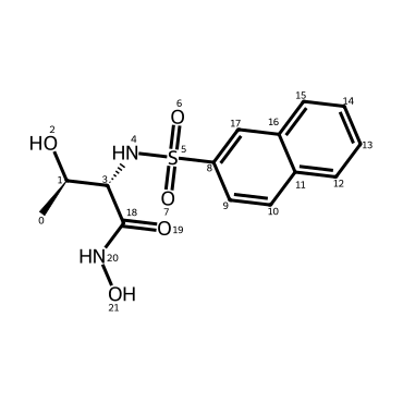 C[C@@H](O)[C@H](NS(=O)(=O)c1ccc2ccccc2c1)C(=O)NO